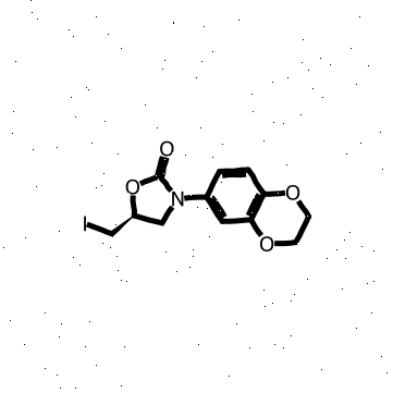 O=C1O[C@H](CI)CN1c1ccc2c(c1)OCCO2